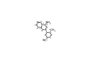 Cc1ccc(C#N)cc1-c1cc(N)c2cnccc2c1